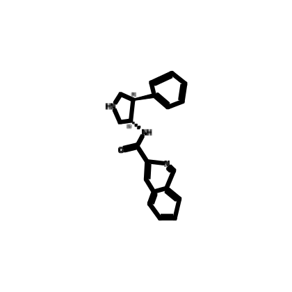 O=C(N[C@@H]1CNC[C@H]1c1ccccc1)c1cc2ccccc2cn1